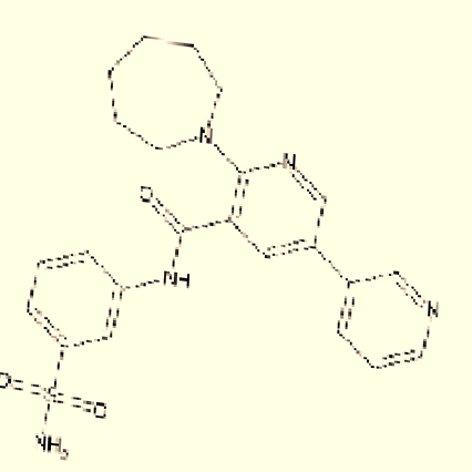 NS(=O)(=O)c1cccc(NC(=O)c2cc(-c3cccnc3)cnc2N2CCCCCC2)c1